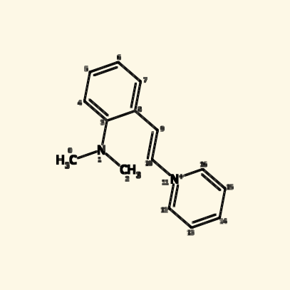 CN(C)c1ccccc1/C=C/[n+]1ccccc1